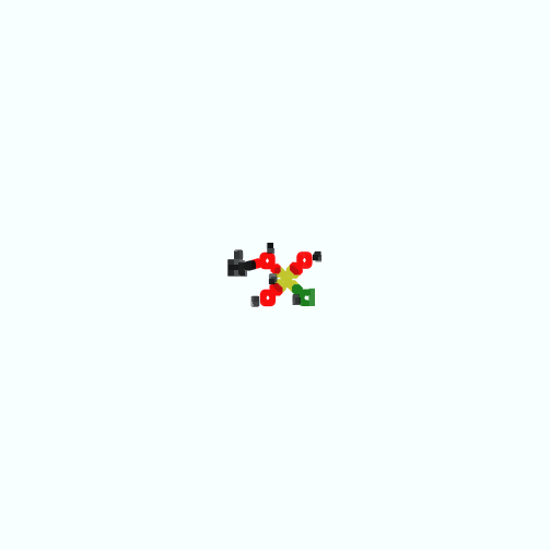 [CH2]COS(=O)(=O)Cl